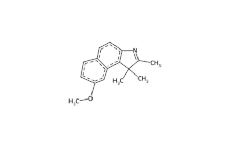 COc1ccc2ccc3c(c2c1)C(C)(C)C(C)=N3